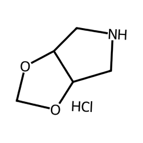 C1OC2CNCC2O1.Cl